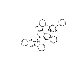 C1=CC2c3cc4ccccc4cc3N(c3cc4oc5c(c4c4ccccc34)C(c3cc(-c4ccccc4)nc(-c4ccccc4)n3)=CCC5)C2C=C1